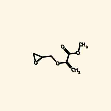 C=C(OCC1CO1)C(=O)OC